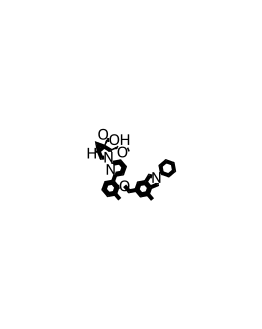 COC[C@H]1N(c2cccc(-c3cccc(C)c3OCc3cc(C)c4c(c3)CN(C3CCCCC3)C4)n2)C[C@@H]2C[C@@]21C(=O)O